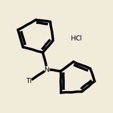 Cl.[Ti][N](c1ccccc1)c1ccccc1